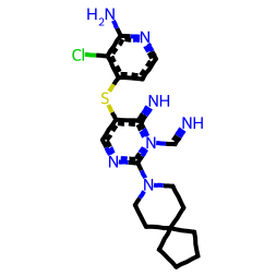 N=Cn1c(N2CCC3(CCCC3)CC2)ncc(Sc2ccnc(N)c2Cl)c1=N